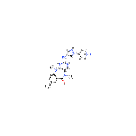 Cc1ccc2c(c1)C(=O)N(C)c1cnc(Nc3cnn(C4CCNCC4)c3)nc1N2C